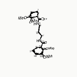 COc1cccc(C(=O)NCCCNC(=O)c2cccc(OC)c2OC)c1OC